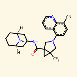 CN1[C@@H]2CCC[C@H]1CC(NC(=O)C13CN(c4ccc(C#N)c5ncccc45)CC1(C(F)(F)F)C3)C2